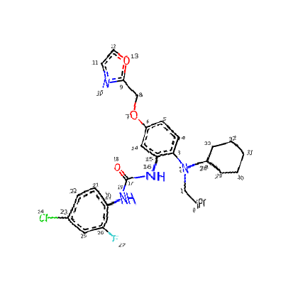 CC(C)CN(c1ccc(OCc2ncco2)cc1NC(=O)Nc1ccc(Cl)cc1F)C1CCCCC1